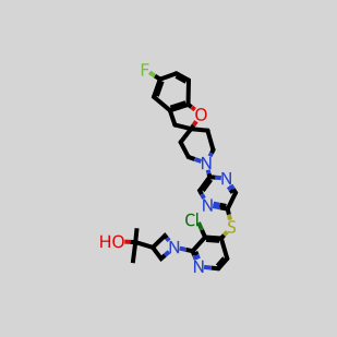 CC(C)(O)C1CN(c2nccc(Sc3cnc(N4CCC5(CC4)Cc4cc(F)ccc4O5)cn3)c2Cl)C1